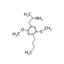 CCCCc1cc(OC)c(CC(C)N)cc1SC